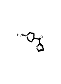 NN1CCC(C(=O)c2ccco2)CC1